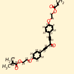 C=CC(=O)OCCOc1ccc(C#CC(=O)C#Cc2ccc(OCCOC(=O)C(=C)C)cc2)cc1